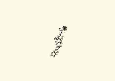 O=C(/C=C/c1ccc2c(c1)C(=O)CC1(CCN(CCCc3ccccc3)CC1)O2)NO